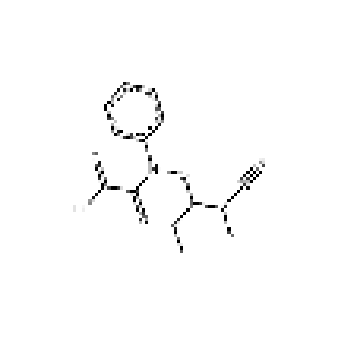 CCC(ON(C(=O)C(=O)O)c1ccccc1)C(C)C#N